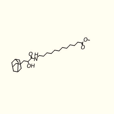 COC(=O)CCCCCCCCCCCNC(=O)C(O)CC12CC3CC(CC(C3)C1)C2